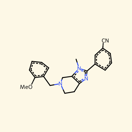 COc1ccccc1CN1CCc2nc(-c3cccc(C#N)c3)n(C)c2C1